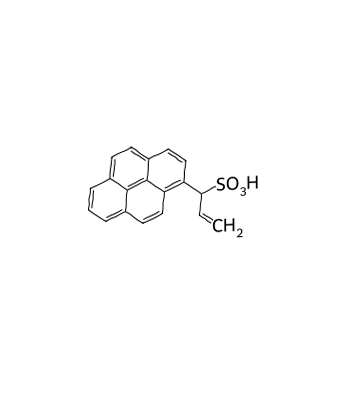 C=CC(c1ccc2ccc3cccc4ccc1c2c34)S(=O)(=O)O